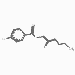 CCCCC(F)COC(=O)c1ccc(O)cc1